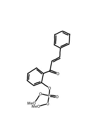 COOP(=O)(OOC)Oc1ccccc1C(=O)C=Cc1ccccc1